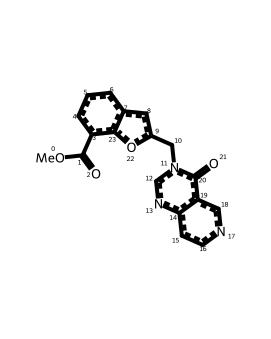 COC(=O)c1cccc2cc(Cn3cnc4ccncc4c3=O)oc12